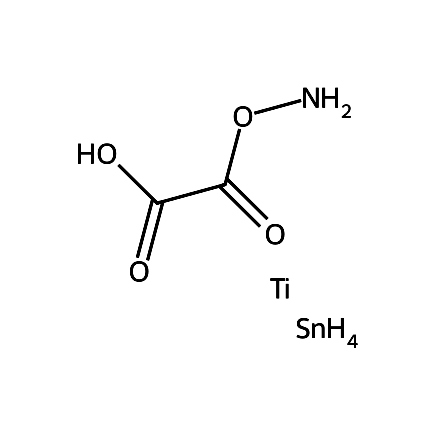 NOC(=O)C(=O)O.[SnH4].[Ti]